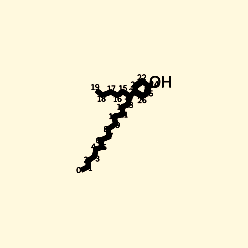 CCCCCCCCCCCCCCC(CCCCC)c1ccc(O)cc1